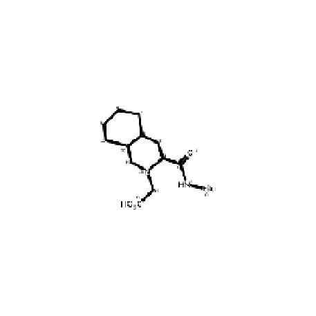 CC(C)(C)NC(=O)C1CC2CCCCC2CN1CC(=O)O